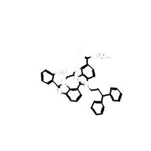 COC(=O)c1ccc2c(c1)nc(-c1cccc3nc(-c4ccccc4O)n(CCC(C)C)c13)n2CCC(c1ccccc1)c1ccccc1